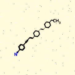 CC[C@H]1CC[C@H](CC[C@H]2CC[C@H](C=CC#Cc3ccc(C#N)cc3)CC2)CC1